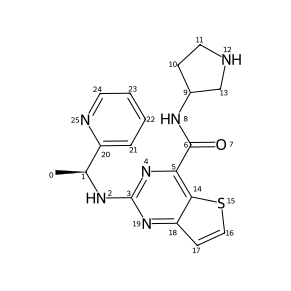 C[C@H](Nc1nc(C(=O)NC2CCNC2)c2sccc2n1)c1ccccn1